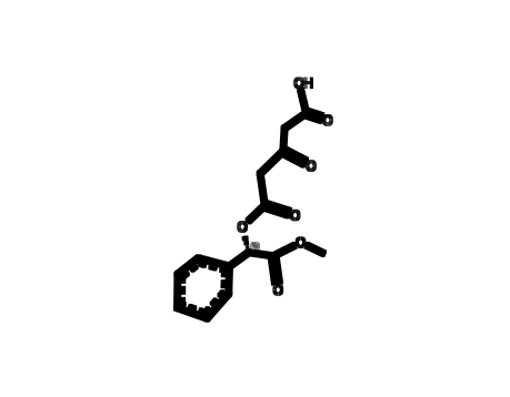 COC(=O)[C@@H](OC(=O)CC(=O)CC(=O)O)c1ccccc1